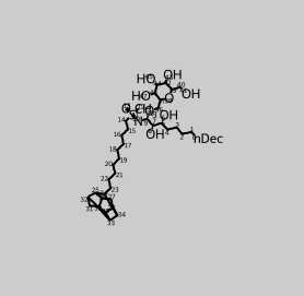 CCCCCCCCCCCCCC[C@@H](O)[C@@H](O)[C@@H](N=S(C)(=O)CCCCCCCCCCC1C2C3CC4C5C3CC2C5C14)OCC1OC(CO)C(O)C(O)C1O